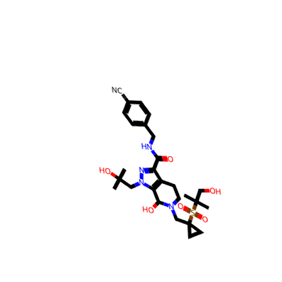 CC(C)(O)Cn1nc(C(=O)NCc2ccc(C#N)cc2)c2c1C(O)N(CC1(S(=O)(=O)C(C)(C)CO)CC1)CC2